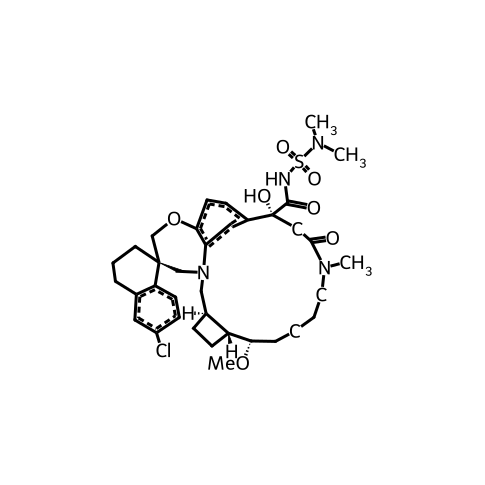 CO[C@H]1CCCCN(C)C(=O)C[C@](O)(C(=O)NS(=O)(=O)N(C)C)c2ccc3c(c2)N(C[C@@H]2CC[C@H]21)C[C@@]1(CCCc2cc(Cl)ccc21)CO3